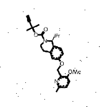 C#CC(C)(C)OC(=O)N1CCc2cc(OCc3nc(C)ccc3OC)ccc2[C@@H]1C(C)C